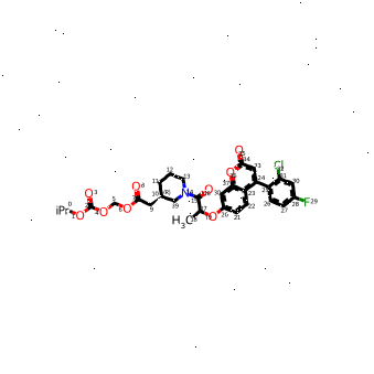 CC(C)OC(=O)OCOC(=O)C[C@H]1CCCN(C(=O)C(C)Oc2ccc3c(-c4ccc(F)cc4Cl)cc(=O)oc3c2)C1